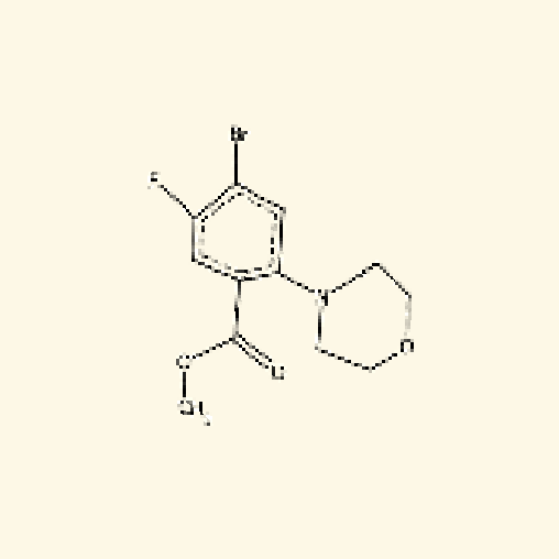 COC(=O)c1cc(F)c(Br)cc1N1CCOCC1